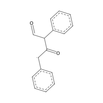 O=CC(C(=O)[CH]c1ccccc1)c1ccccc1